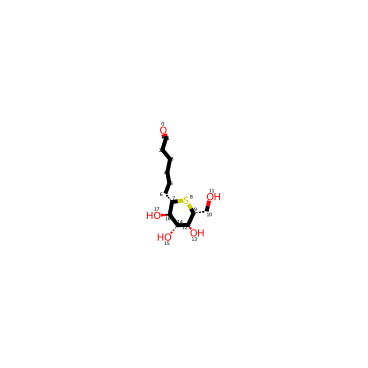 O=[C]CCCCC[C@@H]1S[C@H](CO)[C@H](O)[C@H](O)[C@H]1O